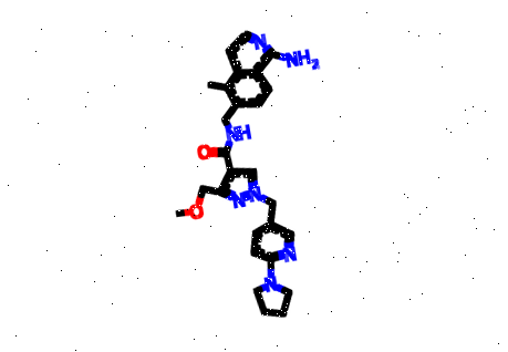 COCc1nn(Cc2ccc(N3CCCC3)nc2)cc1C(=O)NCc1ccc2c(N)nccc2c1C